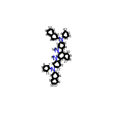 Cn1c2cc(N(c3ccccc3)c3ccc4ccccc4c3)ccc2c2c3ccccc3c3c4ccc(N(c5ccccc5)c5ccc6ccccc6c5)cc4n(C)c3c21